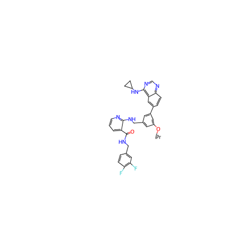 CC(C)Oc1cc(CNc2ncccc2C(=O)NCc2ccc(F)c(F)c2)cc(-c2ccc3ncnc(NC4CC4)c3c2)c1